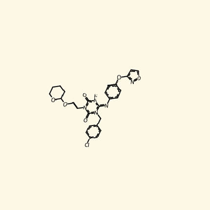 O=c1[nH]/c(=N\c2ccc(Oc3ccon3)cc2)n(Cc2ccc(Cl)cc2)c(=O)n1CCOC1CCCCO1